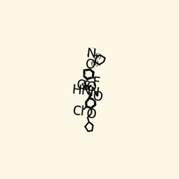 CN(C)[C@H]1CCCC[C@@H]1Oc1ccc(S(=O)(=O)Nc2noc3cc(OCC4CCCC4)c(Cl)cc23)c(F)c1